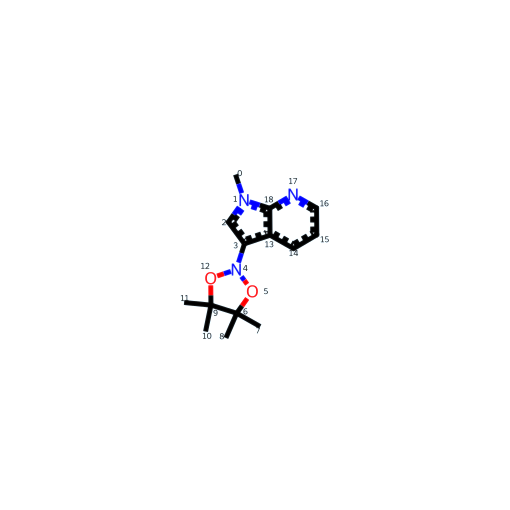 Cn1cc(N2OC(C)(C)C(C)(C)O2)c2cccnc21